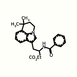 CCOC(=O)C(Cc1cn2c3c(cccc13)C(C)(C)CC2)NC(=O)c1ccccc1